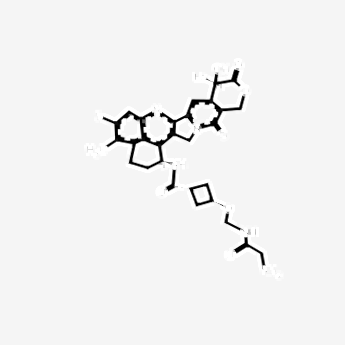 CC[C@@]1(O)C(=O)OCc2c1cc1n(c2=O)Cc2c-1nc1cc(F)c(C)c3c1c2[C@@H](NC(=O)[C@H]1C[C@H](OCNC(=O)CN)C1)CC3